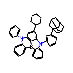 c1ccc(N2c3ccccc3B3c4ccccc4N(c4cccc(C56CC7CC(CC(C7)C5)C6)c4)c4cc(C5CCCCC5)cc2c43)cc1